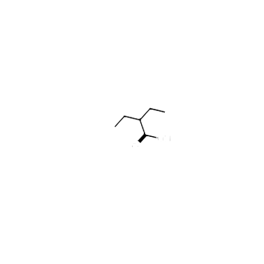 CC[C](CC)C(=O)O